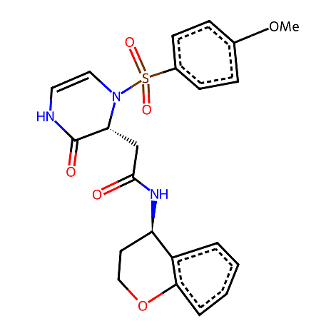 COc1ccc(S(=O)(=O)N2C=CNC(=O)[C@H]2CC(=O)N[C@@H]2CCOc3ccccc32)cc1